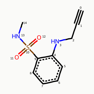 C#CCNc1ccccc1S(=O)(=O)NC